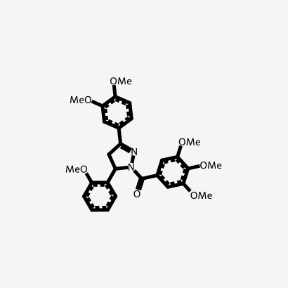 COc1ccc(C2=NN(C(=O)c3cc(OC)c(OC)c(OC)c3)C(c3ccccc3OC)C2)cc1OC